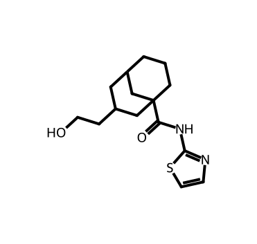 O=C(Nc1nccs1)C12CCCC(CC(CCO)C1)C2